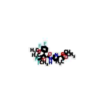 COc1c([C@H]2[C@H](C(=O)Nc3ccc([C@H]4OC(C)(C)O[C@H]4C)nc3)O[C@@](C)(C(F)(F)F)[C@H]2C)ccc(F)c1F